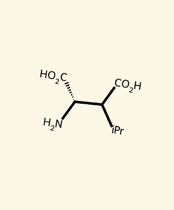 CC(C)C(C(=O)O)[C@H](N)C(=O)O